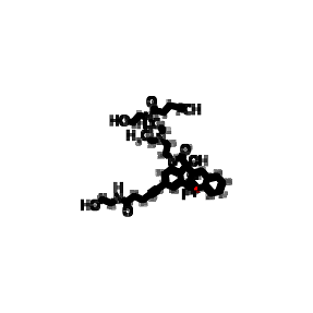 C#CCCC(=O)NCCO.CCN(CC)CCN1C(=O)C(O)(c2ccc3ccccc3c2)c2c1cc(C#CCCC(=O)NCCO)cc2C(F)(F)F